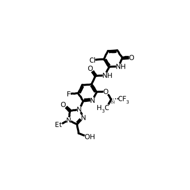 CCn1c(CO)nn(-c2nc(O[C@@H](C)C(F)(F)F)c(C(=O)Nc3[nH]c(=O)ccc3Cl)cc2F)c1=O